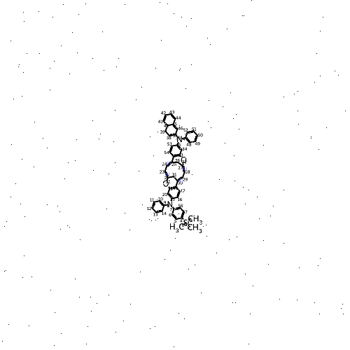 C[Si](C)(C)c1ccc(N(c2ccccc2)c2ccc3c(c2)O/C2=C/C=C4\C/C(=C\C=C\3C2)Oc2cc(N(C3=CCC5C=CC=CC5=C3)c3ccccc3)ccc24)cc1